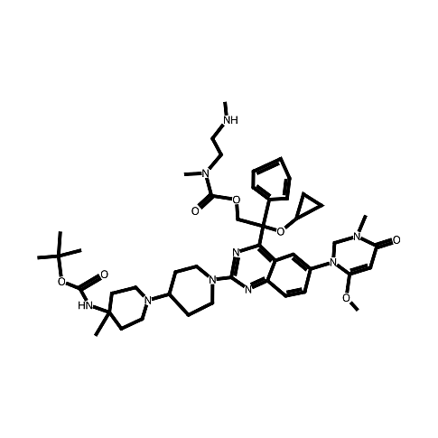 CNCCN(C)C(=O)OCC(OC1CC1)(c1ccccc1)c1nc(N2CCC(N3CCC(C)(NC(=O)OC(C)(C)C)CC3)CC2)nc2ccc(N3CN(C)C(=O)C=C3OC)cc12